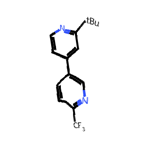 CC(C)(C)c1cc(-c2ccc(C(F)(F)F)nc2)ccn1